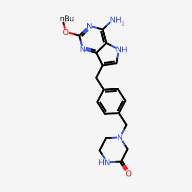 CCCCOc1nc(N)c2[nH]cc(Cc3ccc(CN4CCNC(=O)C4)cc3)c2n1